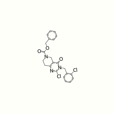 O=C(OCc1ccccc1)N1CCc2nc(Cl)n(Cc3ccccc3Cl)c(=O)c2C1